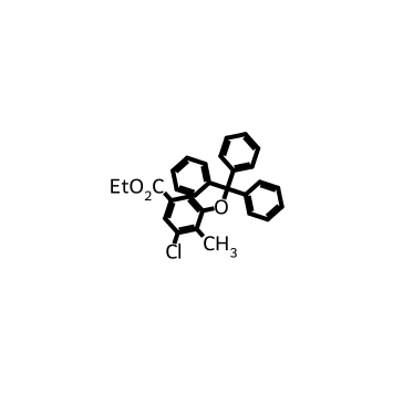 CCOC(=O)c1cc(Cl)c(C)c(OC(c2ccccc2)(c2ccccc2)c2ccccc2)c1